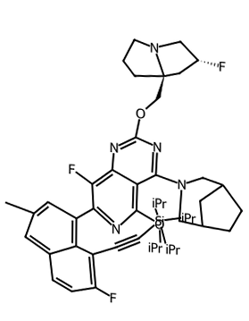 Cc1cc(-c2nc(OC(C)C)c3c(N4CC5CCC(C5)C4)nc(OC[C@@]45CCCN4C[C@H](F)C5)nc3c2F)c2c(C#C[Si](C(C)C)(C(C)C)C(C)C)c(F)ccc2c1